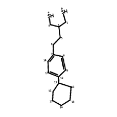 SCC(CS)CCc1ccc(C2CCCCC2)cc1